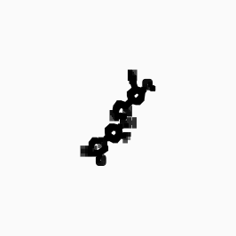 COc1ccc(-c2ccnc(Nc3ccc(N4CCNC(=O)C4)cc3F)n2)cc1C#N